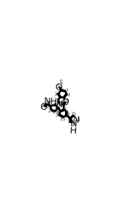 COc1cccc(CN2C(=O)c3cc(-c4cn[nH]c4)ccc3C23CCC(C(N)=O)C3)c1